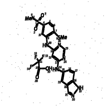 CNS(=O)(=O)c1ccc(SC)c(Nc2cc(Nc3ccc4[nH]ncc4c3)ncn2)c1.O=C(O)C(F)(F)F